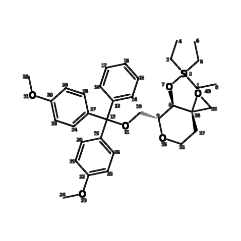 CC[Si](CC)(CC)O[C@@H]1[C@@H](COC(c2ccccc2)(c2ccc(OC)cc2)c2ccc(OC)cc2)OCC[C@@]12CO2